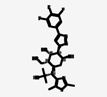 Cc1nc([C@@H]([SH]2C[C@H](O)[C@H](n3cc(-c4cc(F)c(F)c(F)c4)nn3)[C@@H](O)[C@H]2CO)C(C)(C)O)c(C)s1